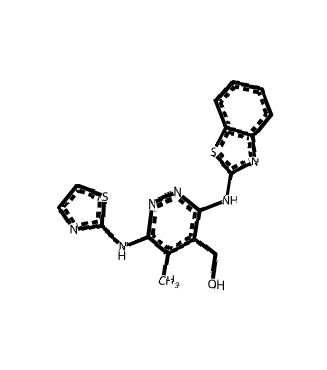 Cc1c(Nc2nccs2)nnc(Nc2nc3ccccc3s2)c1CO